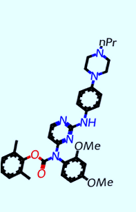 CCCN1CCN(c2ccc(Nc3nccc(N(C(=O)Oc4c(C)cccc4C)c4ccc(OC)cc4OC)n3)cc2)CC1